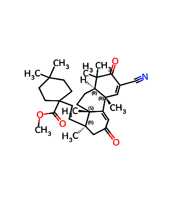 COC(=O)C1(CC[C@]2(C)CC(=O)C=C3[C@@]4(C)C=C(C#N)C(=O)C(C)(C)[C@@H]4CC[C@]32C)CCC(C)(C)CC1